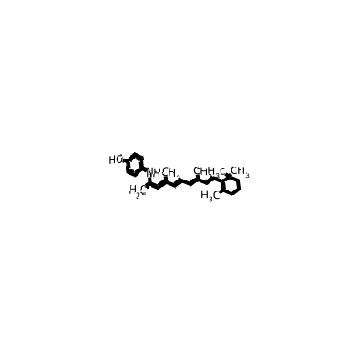 C=C(/C=C(C)/C=C/C=C(C)/C=C/C1=C(C)CCCC1(C)C)Nc1ccc(O)cc1